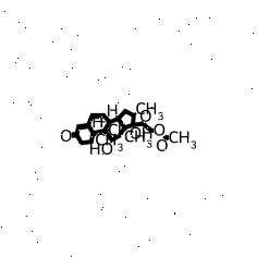 CC(=O)OCC(=O)[C@@]1(O)[C@H](C)C[C@H]2[C@@H]3C=CC4=CC(=O)CC[C@]4(C)[C@@]3(Cl)[C@@H](O)C[C@@]21C